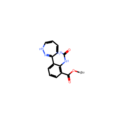 CC(C)(C)OC(=O)c1cccc(C2=NNC=CC=C2)c1NC(N)=O